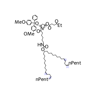 CCCCC/C=C\C/C=C\CCCCCCCCC(CCCCCCCC/C=C\C/C=C\CCCCC)OC(=O)NCCCCCC(=O)N1C[C@H](OC(=O)CCC(=O)CC)C[C@H]1COC(c1ccccc1)(c1ccc(OC)cc1)c1ccc(OC)cc1